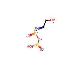 O=[PH](O)O[PH](=O)N=CCO